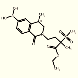 CCOC(=O)C(C)(CCN1C[C@H](C)c2cc(B(O)O)ccc2C1=O)S(C)(=O)=O